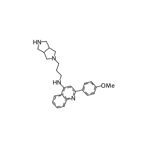 COc1ccc(-c2cc(NCCCN3CC4CNCC4C3)c3ccccc3n2)cc1